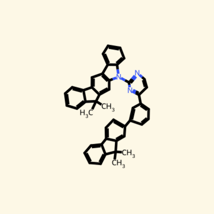 CC1(C)c2ccccc2-c2ccc(-c3cccc(-c4ccnc(-n5c6ccccc6c6cc7c(cc65)C(C)(C)c5ccccc5-7)n4)c3)cc21